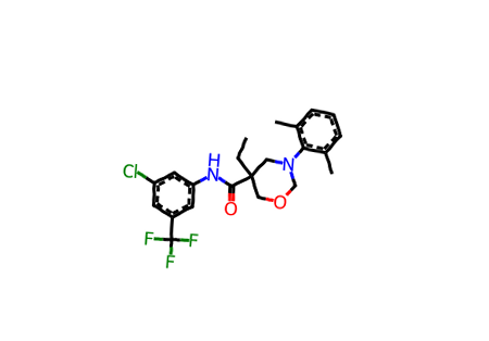 CCC1(C(=O)Nc2cc(Cl)cc(C(F)(F)F)c2)COCN(c2c(C)cccc2C)C1